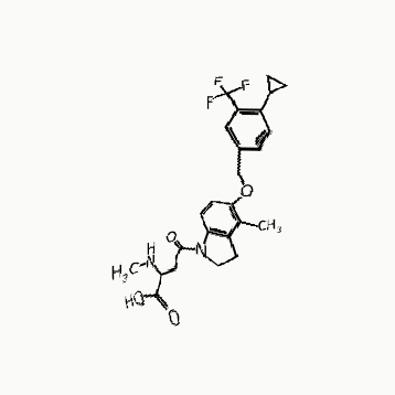 CNC(CC(=O)N1CCc2c1ccc(OCc1ccc(C3CC3)c(C(F)(F)F)c1)c2C)C(=O)O